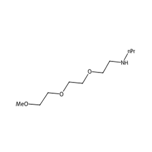 CCCNCCOCCOCCOC